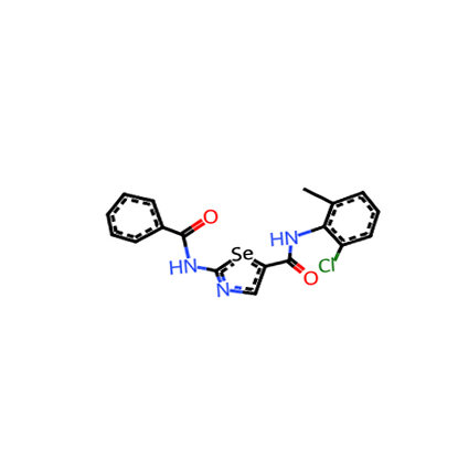 Cc1cccc(Cl)c1NC(=O)c1cnc(NC(=O)c2ccccc2)[se]1